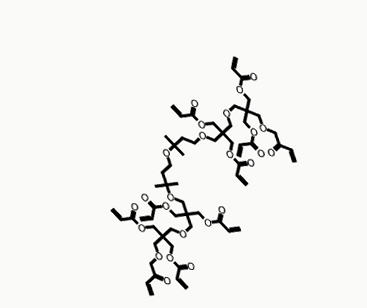 C=CC(=O)COCC(COCC(COCCC(C)(C)OCCC(C)(C)OCC(COCC(COCC(=O)C=C)(COC(=O)C=C)COC(=O)C=C)(COC(=O)C=C)COC(=O)C=C)(COC(=O)C=C)COC(=O)C=C)(COC(=O)C=C)COC(=O)C=C